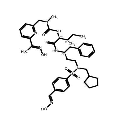 CC[C@H](C)[C@H](NC(=O)N(C)Cc1cccc(C(C)=NO)n1)C(=O)N[C@H](CCN(CC1CCCC1)S(=O)(=O)c1ccc(C=NO)cc1)Cc1ccccc1